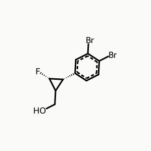 OCC1[C@@H](c2ccc(Br)c(Br)c2)[C@H]1F